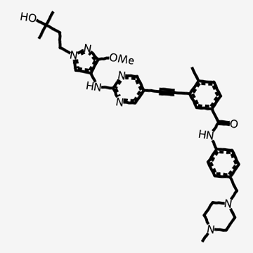 COc1nn(CCC(C)(C)O)cc1Nc1ncc(C#Cc2cc(C(=O)Nc3ccc(CN4CCN(C)CC4)cc3)ccc2C)cn1